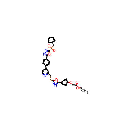 CCOC(=O)COc1ccc(-c2nnc(SCc3cc(-c4ccc(-c5nnc(S(=O)(=O)Cc6ccccc6)o5)cc4)ccn3)o2)cc1